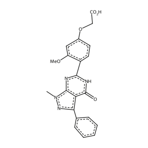 COc1cc(OCC(=O)O)ccc1-c1nc2c(c(-c3ccccc3)nn2C)c(=O)[nH]1